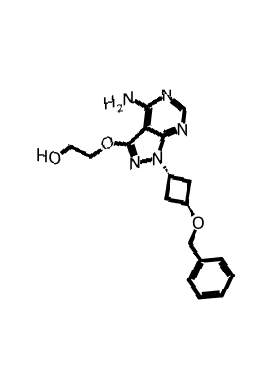 Nc1ncnc2c1c(OCCO)nn2[C@H]1C[C@H](OCc2ccccc2)C1